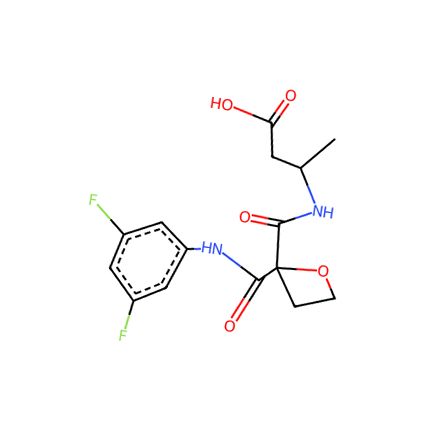 CC(CC(=O)O)NC(=O)C1(C(=O)Nc2cc(F)cc(F)c2)CCO1